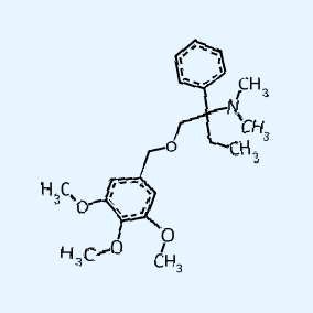 CCC(COCc1cc(OC)c(OC)c(OC)c1)(c1ccccc1)N(C)C